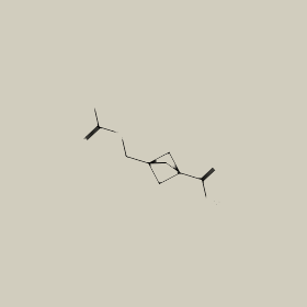 CCC(=S)OCC12CC(C(=O)OC)(C1)C2